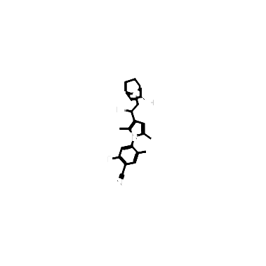 Cc1cc(C(O)CN2C3CCC2[C@@H](O)C3)c(C)n1-c1cc(F)c(C#N)cc1F